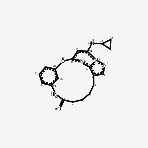 O=C1CCCCc2cnn3c(NC4CC4)cc(nc23)Oc2cccc(c2)N1